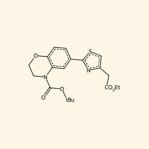 CCOC(=O)Cc1csc(-c2ccc3c(c2)N(C(=O)OC(C)(C)C)CCO3)n1